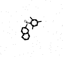 Cc1cc(C)c([P](=O)c2ccc3ccccc3c2)c(C)c1